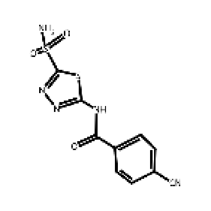 N#Cc1ccc(C(=O)Nc2nnc(S(N)(=O)=O)s2)cc1